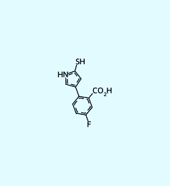 O=C(O)c1cc(F)ccc1-c1c[nH]c(S)c1